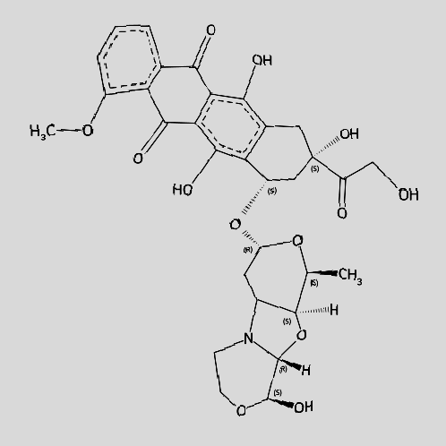 COc1cccc2c1C(=O)c1c(O)c3c(c(O)c1C2=O)C[C@@](O)(C(=O)CO)C[C@@H]3O[C@H]1CC2[C@H](O[C@@H]3[C@@H](O)OCCN23)[C@H](C)O1